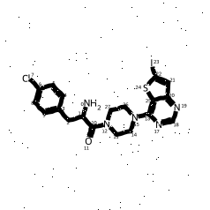 NC(Cc1ccc(Cl)cc1)C(=O)N1CCN(c2ncnc3cc(I)sc23)CC1